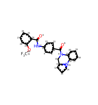 O=C(Nc1ccc(C(=O)N2Cc3cccn3-c3ccccc32)cc1)c1ccccc1OC(F)(F)F